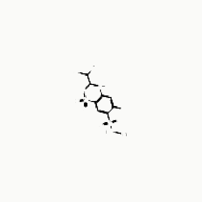 CC(C)NS(=O)(=O)c1cc2c(cc1Cl)NC(C(Cl)Cl)NS2(=O)=O